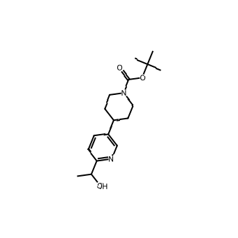 CC(O)c1ccc(C2CCN(C(=O)OC(C)(C)C)CC2)cn1